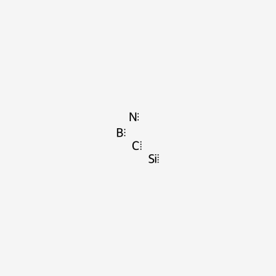 [B].[C].[N].[Si]